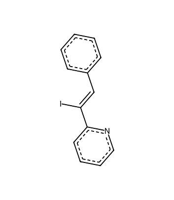 IC(=Cc1ccccc1)c1ccccn1